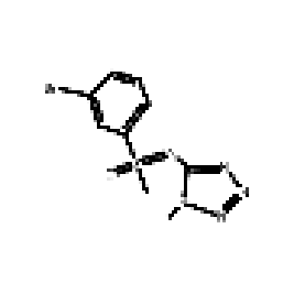 Cn1nnnc1N=S(C)(=O)c1cccc(Br)c1